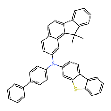 CC1(C)c2ccccc2-c2ccc3ccc(N(c4ccc(-c5ccccc5)cc4)c4ccc5c(c4)sc4ccccc45)cc3c21